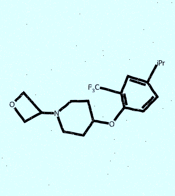 CC(C)c1ccc(OC2CCN(C3COC3)CC2)c(C(F)(F)F)c1